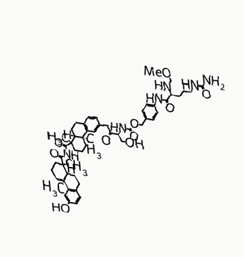 COCN[C@@H](CCCNC(N)=O)C(=O)Nc1ccc(COC(=O)N[C@@H](CO)C(=O)Cc2ccc3c(c2)[C@@]2(C)CCC[C@](C)(C(=O)NC(=O)[C@@]4(C)CCC[C@]5(C)c6cc(O)ccc6CC[C@@H]45)[C@@H]2CC3)cc1